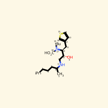 CC(C)CCCC(C)NC[C@@H](O)[C@H](Cc1ccsc1)N(C(=O)O)C(C)(C)C